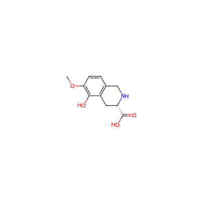 COc1ccc2c(c1O)C[C@@H](C(=O)O)NC2